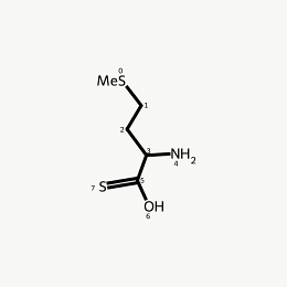 CSCCC(N)C(O)=S